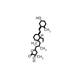 C=C1CC[C@@H](O)C/C1=C/C=C1\CCC[C@]2(C)[C@@H]([C@H](C)CC3C[C@@](C)(O)C(=O)O3)CC[C@@H]12